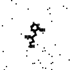 NC(CCO)Cc1ccccc1O